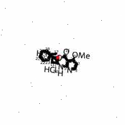 COc1ccnc(NC23CC(N)(C2)C3)c1C(=O)OCc1ccccc1.Cl